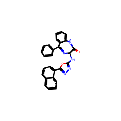 O=C1Nc2ccccc2C(c2ccccc2)=N[C@@H]1Nc1nnc(-c2cccc3ccccc23)o1